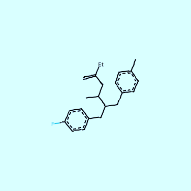 C=C(CC)CC(C)C(Cc1ccc(C)cc1)Cc1ccc(F)cc1